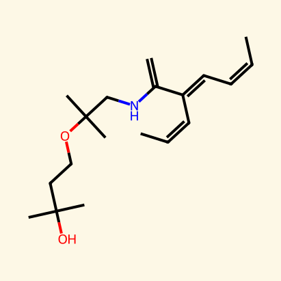 C=C(NCC(C)(C)OCCC(C)(C)O)C(/C=C\C)=C/C=C\C